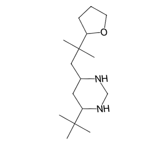 CC(C)(C)C1CC(CC(C)(C)C2CCCO2)NCN1